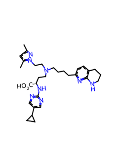 Cc1cc(C)n(CCN(CCCCc2ccc3c(n2)NCCC3)CC[C@H](Nc2ncc(C3CC3)cn2)C(=O)O)n1